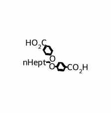 CCCCCCCC(Oc1ccc(C(=O)O)cc1)Oc1ccc(C(=O)O)cc1